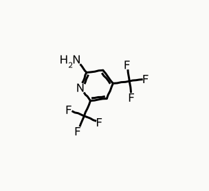 Nc1cc(C(F)(F)F)cc(C(F)(F)F)n1